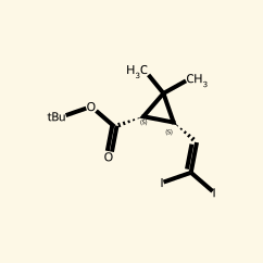 CC(C)(C)OC(=O)[C@H]1[C@@H](C=C(I)I)C1(C)C